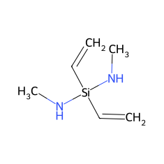 C=C[Si](C=C)(NC)NC